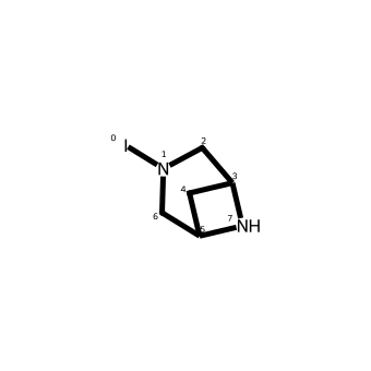 IN1CC2CC(C1)N2